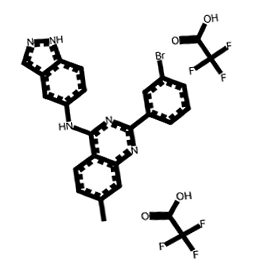 Cc1ccc2c(Nc3ccc4[nH]ncc4c3)nc(-c3cccc(Br)c3)nc2c1.O=C(O)C(F)(F)F.O=C(O)C(F)(F)F